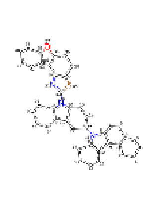 c1ccc2c(c1)ccc1c2c2ccccc2n1-c1ccc2c(c1)c1ccccc1n2-c1nc2c(ccc3oc4ccccc4c32)s1